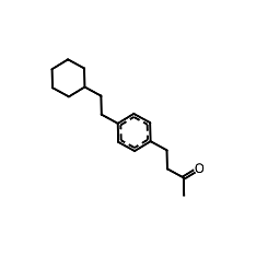 CC(=O)CCc1ccc(CCC2CCCCC2)cc1